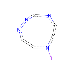 In1ccncnncc1